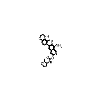 Cc1c(-c2cc3cc(OC(=O)NC4CCOC4C)ncc3c(N)c2F)cnc2c1NCCO2